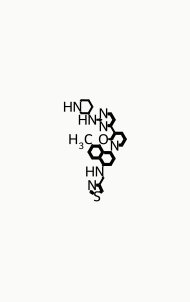 Cc1ccc2c(NCc3cscn3)cccc2c1Oc1ncccc1-c1ccnc(NC2CCCNC2)n1